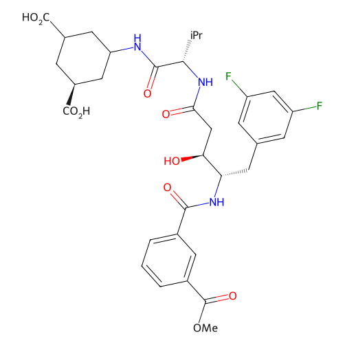 COC(=O)c1cccc(C(=O)N[C@@H](Cc2cc(F)cc(F)c2)[C@@H](O)CC(=O)N[C@H](C(=O)NC2CC(C(=O)O)C[C@H](C(=O)O)C2)C(C)C)c1